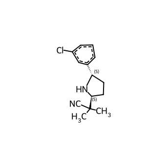 CC(C)(C#N)[C@@H]1CC[C@@H](c2cccc(Cl)c2)N1